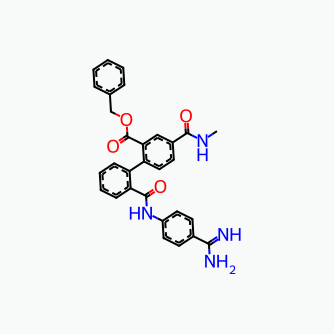 CNC(=O)c1ccc(-c2ccccc2C(=O)Nc2ccc(C(=N)N)cc2)c(C(=O)OCc2ccccc2)c1